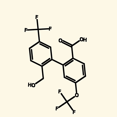 O=C(O)c1ccc(OC(F)(F)F)cc1-c1cc(C(F)(F)F)ccc1CO